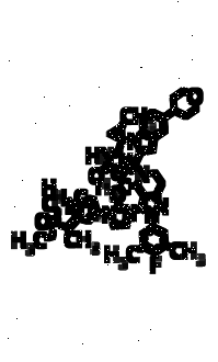 C=C/C(=C\C(N)=C(/C)P(=O)(CC)CC)n1ccn(-c2c3c(nn2-c2cc(C)c(F)c(C)c2)CCN(C(=O)c2cc4cc(C5CCOCC5)ccc4n2C2(c4noc(=O)[nH]4)CC2C)C3C)c1=O